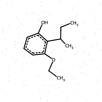 CCOc1cccc(O)c1C(C)CC